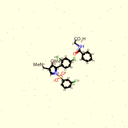 CNCc1cn(S(=O)(=O)c2cccc(F)c2)c(-c2ccc(F)cc2F)c1OC.O=C(O)CNC(=O)c1ccccc1